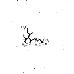 C/C=C(F)\C(C(=O)NOCC(C)(C)O)=C(\F)CCC